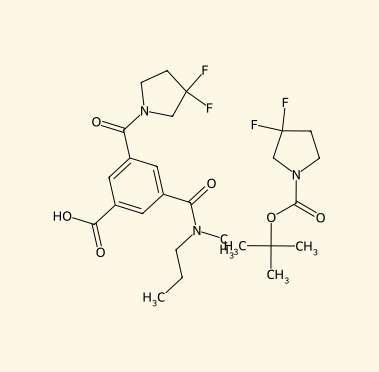 CC(C)(C)OC(=O)N1CCC(F)(F)C1.CCCN(C)C(=O)c1cc(C(=O)O)cc(C(=O)N2CCC(F)(F)C2)c1